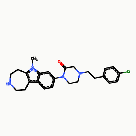 Cn1c2c(c3ccc(N4CCN(CCc5ccc(Cl)cc5)CC4=O)cc31)CCNCC2